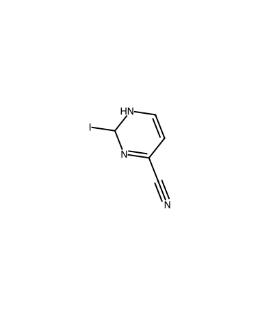 N#CC1=NC(I)NC=C1